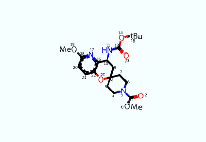 COC(=O)N1CCC2(CC1)C[C@H](NC(=O)OC(C)(C)C)c1nc(OC)ccc1O2